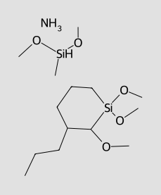 CCCC1CCC[Si](OC)(OC)C1OC.CO[SiH](C)OC.N